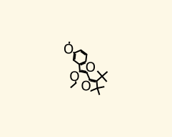 CCOc1c(C2=C(C(C)(C)C)C(C)(C)CO2)oc2ccc(OC)cc12